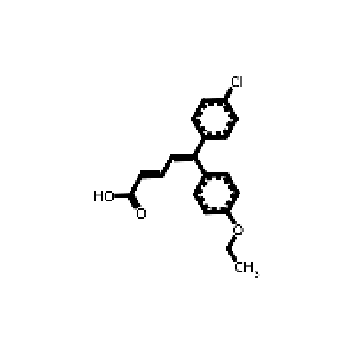 CCOc1ccc(/C(=C\C=C\C(=O)O)c2ccc(Cl)cc2)cc1